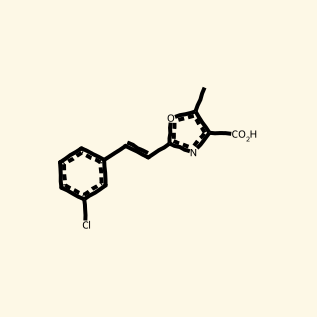 Cc1oc(C=Cc2cccc(Cl)c2)nc1C(=O)O